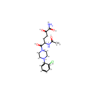 CC(=O)NC(CCC(=O)C(N)=O)C(=O)N1CCN(c2ccccc2Cl)CC1